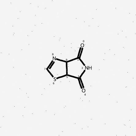 O=C1NC(=O)C2SC=NC12